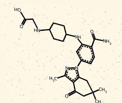 Cc1nn(-c2ccc(C(N)=O)c(NC3CCC(NCC(=O)O)CC3)c2)c2c1C(=O)CC(C)(C)C2